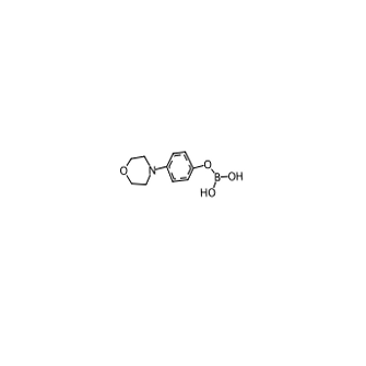 OB(O)Oc1ccc(N2CCOCC2)cc1